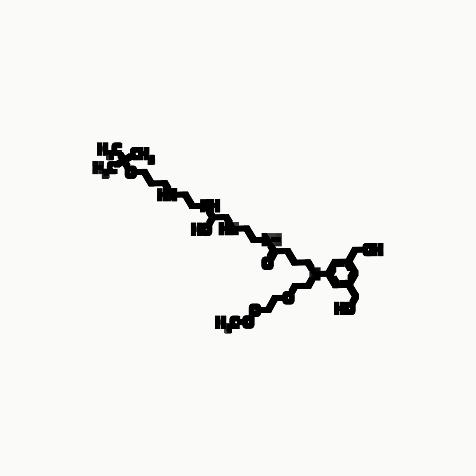 COOCCOCCN(CCCC(=O)NCCNCC(O)NCCNCCCOC(C)(C)C)c1cc(CO)cc(CO)c1